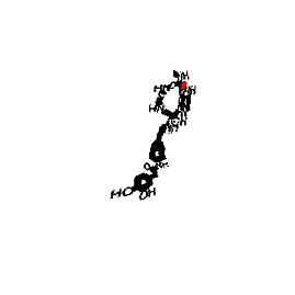 CNC12CNCCNCC(NCc3ccc(NC(=O)Cc4ccc(O)c(O)c4)cc3)(CNCCNC1)CNCCNC2